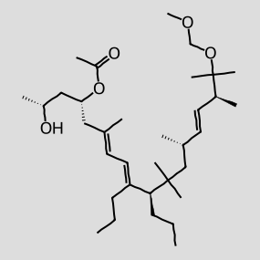 CCC/C(=C\C=C(/C)C[C@H](C[C@@H](C)O)OC(C)=O)[C@H](CCC)C(C)(C)C[C@H](C)/C=C/[C@H](C)C(C)(C)OCOC